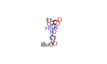 CCc1cc(=O)oc2nc(ON=C3CCN(C(=O)OCC(C)C)CC3)[nH]c(=O)c12